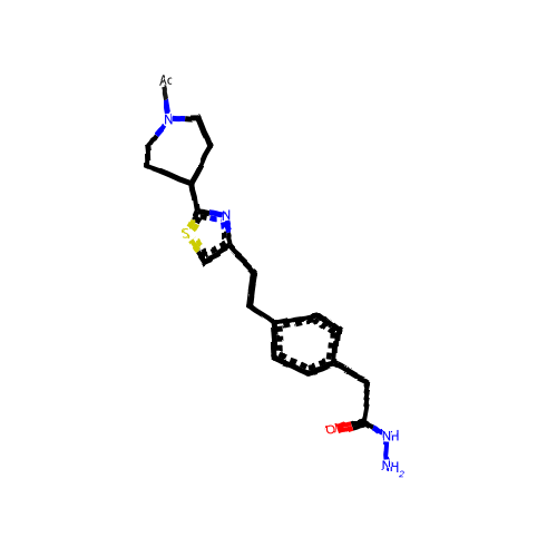 CC(=O)N1CCC(c2nc(CCc3ccc(CC(=O)NN)cc3)cs2)CC1